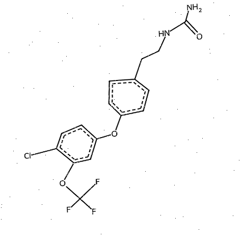 NC(=O)NCCc1ccc(Oc2ccc(Cl)c(OC(F)(F)F)c2)cc1